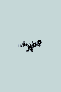 CCn1cc(C(=O)NOC(C)(C)CO)c(Nc2ccc(-n3nnc4ccccc43)cc2F)c(F)c1=O